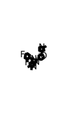 Cc1cc([C@@H]2C[C@H](c3nc(-c4ccc(F)cc4F)c4cc(C)c(C)nc4n3)CCO2)ccn1